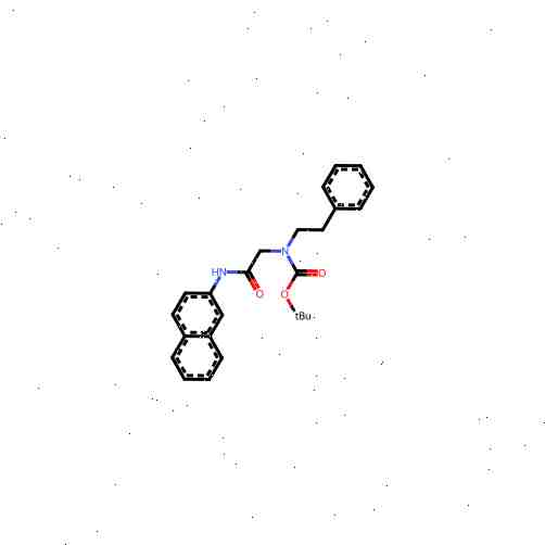 CC(C)(C)OC(=O)N(CCc1ccccc1)CC(=O)Nc1ccc2ccccc2c1